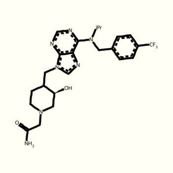 CC(C)N(Cc1ccc(C(F)(F)F)cc1)c1ncnc2c1ncn2CC1CCN(CC(N)=O)C[C@@H]1O